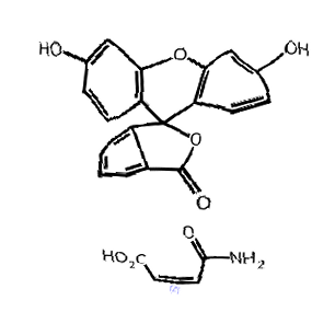 NC(=O)/C=C\C(=O)O.O=C1OC2(c3ccc(O)cc3Oc3cc(O)ccc32)c2ccccc21